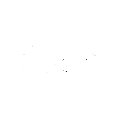 C/C(=C\[C@@H](C)[C@H]1CC[C@H]2[C@@H]3CC[C@H]4[C@H](C)[C@@H](O)CC[C@]4(C)[C@H]3CC[C@]12C)[C@H](C)C(C)C.CC(C)(C)OC(C)(C)C